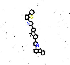 CC1(C)c2cc(-c3ccc(-c4cccc5c4CC4=C5CCC=C4)nc3)ccc2-c2ccc(-c3ccc(-c4cccc5c6c(sc45)C=CCC6)nc3)cc21